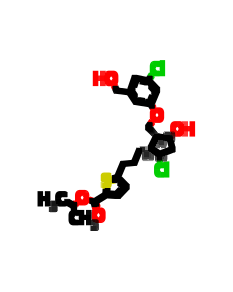 CC(C)OC(=O)c1ccc(CCC[C@@H]2[C@@H](COc3cc(Cl)cc(CO)c3)[C@H](O)C[C@H]2Cl)s1